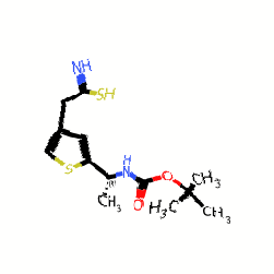 C[C@@H](NC(=O)OC(C)(C)C)c1cc(CC(=N)S)cs1